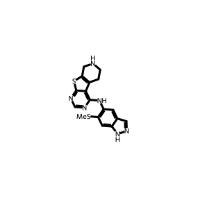 CSc1cc2[nH]ncc2cc1Nc1ncnc2sc3c(c12)CCNC3